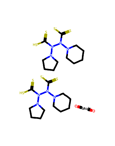 S=C([S-])N(N1CCCCC1)N(C(=S)S)N1CCCC1.S=C([S-])N(N1CCCCC1)N(C(=S)S)N1CCCC1.[O]=[Mo+2]=[O]